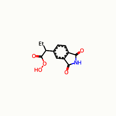 CCC(C(=O)OO)c1ccc2c(c1)C(=O)NC2=O